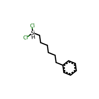 Cl[SiH](Cl)CCCCCCc1ccccc1